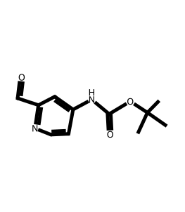 CC(C)(C)OC(=O)Nc1ccnc(C=O)c1